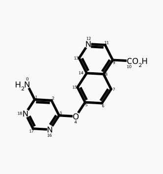 Nc1cc(Oc2ccc3c(C(=O)O)cncc3c2)ncn1